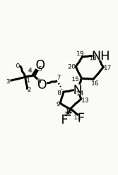 CC(C)(C)C(=O)OC[C@H]1CC(F)(F)CN1C1CCNCC1